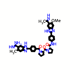 COc1cc2nc(-c3ccc(NC(=O)[C@@H]4CCCN4C(=O)[C@@H]4CCCN4C(=O)c4ccc(-c5nc6cc(C)c(C(=N)N)cc6[nH]5)cc4)cc3)[nH]c2cc1C(C)=N